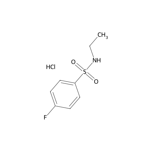 CCNS(=O)(=O)c1ccc(F)cc1.Cl